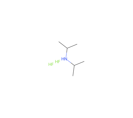 CC(C)NC(C)C.F.F